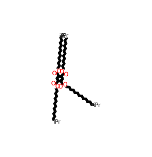 CC(C)CCCCCCCCCCCCCOC(=O)c1cc(C(=O)OCCCCCCCCCCCCCC(C)C)c(C(=O)OCCCCCCCCCCCCCC(C)C)cc1C(=O)OCCCCCCCCCCCCCC(C)C